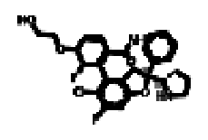 NC(=O)C1=C(c2c(Cl)c(F)cc3c2C[C@](c2ccccc2)([C@@H]2CCCN2)O3)C(F)C(OCCO)C=C1